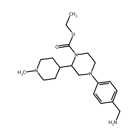 CCOC(=O)N1CCN(c2ccc(CN)cc2)CC1C1CCN(C)CC1